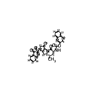 CCCC(NC(=O)Oc1cnc2ccccc2n1)C(=O)N1CCC2C1C(=O)CN2S(=O)(=O)C(=O)c1ccccn1